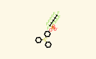 O=S(=O)([O-])C(F)(F)C(F)(F)C(F)(F)C(F)(F)C(F)(F)F.c1ccc([S+](c2ccccc2)c2ccccc2)cc1